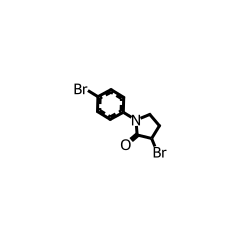 O=C1C(Br)CCN1c1ccc(Br)cc1